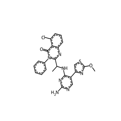 COc1nc(-c2cnc(N)nc2NC(C)c2nc3cccc(Cl)c3c(=O)n2-c2ccccc2)cs1